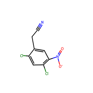 N#CCc1cc([N+](=O)[O-])c(Cl)cc1Cl